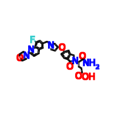 NC(=O)C(CCC(=O)O)N1Cc2cc(OC3CCN(Cc4cc(F)c5nc(N6CCOCC6)ccc5c4)C3)ccc2C1=O